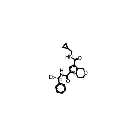 CC[C@H](NC(=O)c1cc(C(=O)NCC2CC2)c2n1CCOC2)c1ccccc1